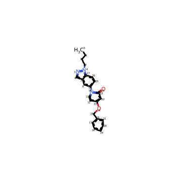 CCCCn1ncc2cc(-n3ccc(OCc4ccccc4)cc3=O)ccc21